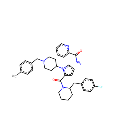 N#Cc1ccc(CN2CCC(n3cccc3C(=O)N3CCCCC3Cc3ccc(F)cc3)CC2)cc1.NC(=O)c1ccccn1